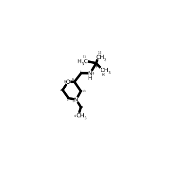 CCN1CCOC(CNC(C)(C)C)C1